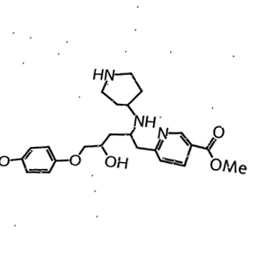 COC(=O)c1ccc(CC(CC(O)COc2ccc(O)cc2)NC2CCNCC2)nc1